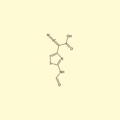 [N-]=[N+]=C(C(=O)O)c1csc(NC=O)n1